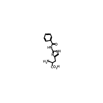 NC(Cc1c[nH]c(NC(=O)c2ccccc2)n1)C(=O)O